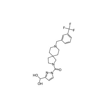 O=C(N1CCC2(CCN(Cc3cccc(C(F)(F)F)c3)CC2)C1)n1ccc(C(O)O)n1